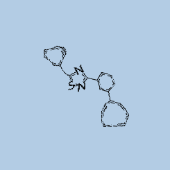 c1ccc(-c2cccc(-c3nsc(-c4ccccc4)n3)c2)cc1